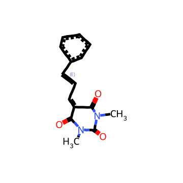 CN1C(=O)C(=C/C=C/c2ccccc2)C(=O)N(C)C1=O